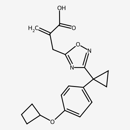 C=C(Cc1nc(C2(c3ccc(OC4CCC4)cc3)CC2)no1)C(=O)O